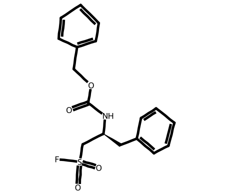 O=C(N[C@@H](Cc1ccccc1)CS(=O)(=O)F)OCc1ccccc1